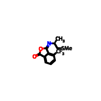 CSC[C@H](C)/N=C1/OC(=O)c2cccc(C(F)(F)F)c21